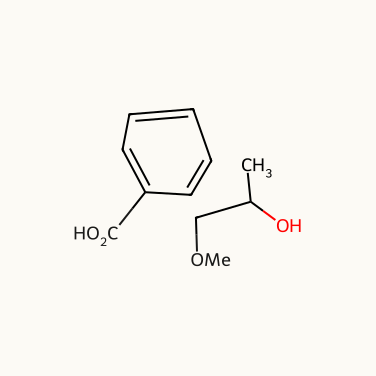 COCC(C)O.O=C(O)c1ccccc1